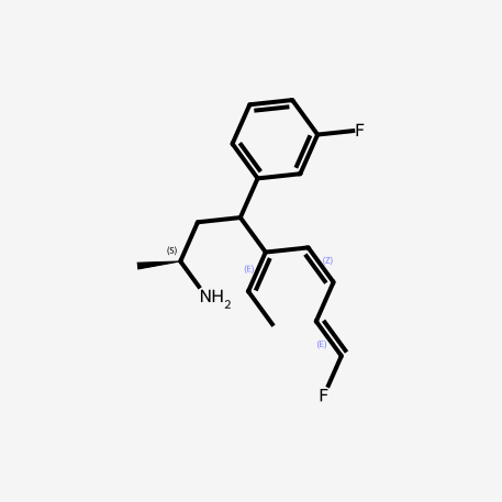 C\C=C(/C=C\C=C\F)C(C[C@H](C)N)c1cccc(F)c1